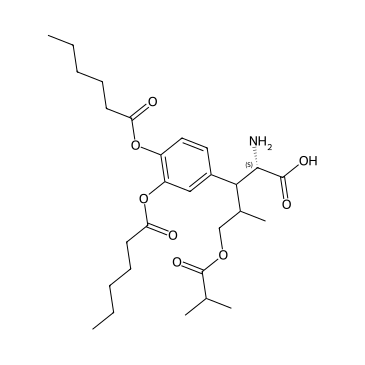 CCCCCC(=O)Oc1ccc(C(C(C)COC(=O)C(C)C)[C@H](N)C(=O)O)cc1OC(=O)CCCCC